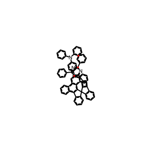 c1ccc(-c2nc(-c3ccccc3)nc(-c3ccc4c(c3)C3(c5ccccc5-4)c4ccccc4-c4c3c3c5ccccc5c(-c5ccc(N(c6ccccc6)c6ccccc6)cc5)cc3c3ccccc43)n2)cc1